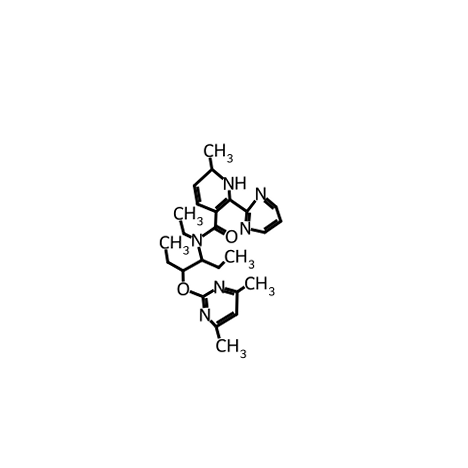 CCC(Oc1nc(C)cc(C)n1)C(CC)N(CC)C(=O)C1=C(c2ncccn2)NC(C)C=C1